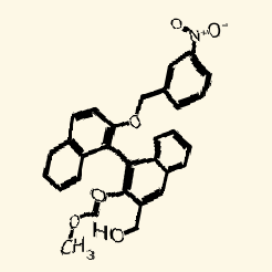 COCOc1c(CO)cc2ccccc2c1-c1c(OCc2cccc([N+](=O)[O-])c2)ccc2c1C=CCC2